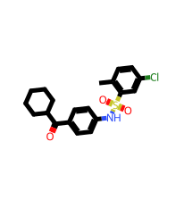 Cc1ccc(Cl)cc1S(=O)(=O)Nc1ccc(C(=O)C2CCCCC2)cc1